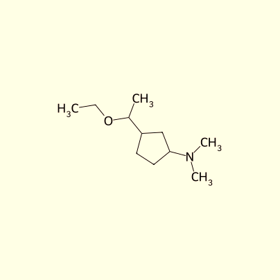 CCOC(C)C1CCC(N(C)C)C1